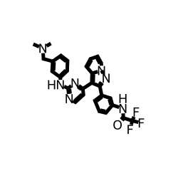 CN(C)Cc1cccc(Nc2nccc(-c3c(-c4cccc(NC(=O)C(F)(F)F)c4)nn4ccccc34)n2)c1